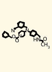 CC(=O)NCc1ccc(N(Cc2cccc(C#N)c2)C2CCN(C(=O)OCc3ccccc3)CC2)cc1